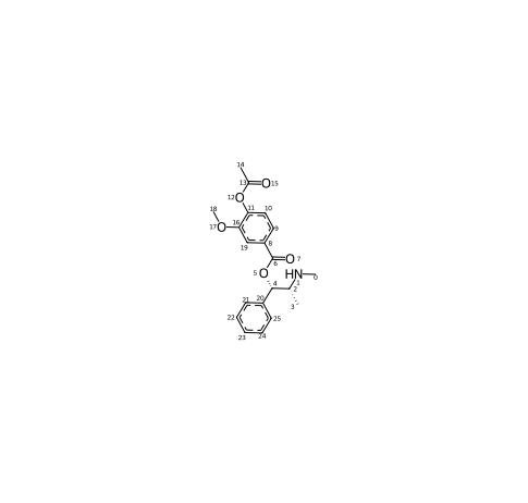 CN[C@H](C)[C@@H](OC(=O)c1ccc(OC(C)=O)c(OC)c1)c1ccccc1